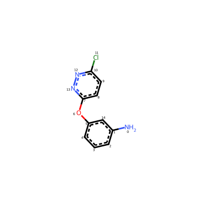 Nc1cccc(Oc2ccc(Cl)nn2)c1